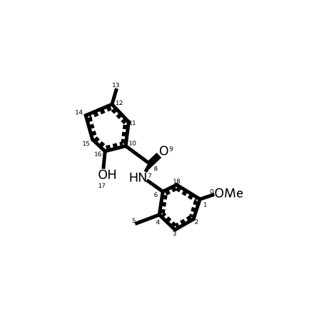 COc1ccc(C)c(NC(=O)c2cc(C)ccc2O)c1